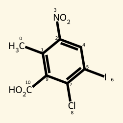 Cc1c([N+](=O)[O-])cc(I)c(Cl)c1C(=O)O